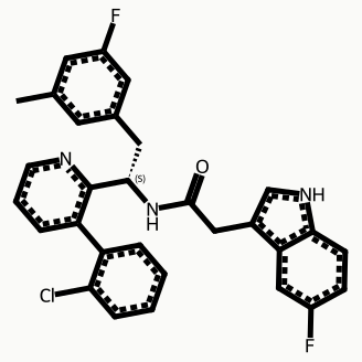 Cc1cc(F)cc(C[C@H](NC(=O)Cc2c[nH]c3ccc(F)cc23)c2ncccc2-c2ccccc2Cl)c1